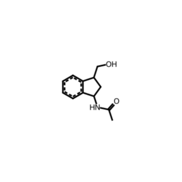 CC(=O)NC1CC(CO)c2ccccc21